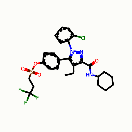 CCc1c(C(=O)NC2CCCCC2)nn(-c2ccccc2Cl)c1-c1ccc(OS(=O)(=O)CCC(F)(F)F)cc1